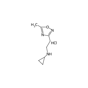 Cc1nc(CCNC2CC2)no1.Cl